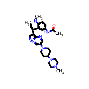 C=Nc1ccc(NC(C)=O)cc1/C(=C\C)c1cnn2cc(N3CCC(N4CCN(C)CC4)CC3)cnc12